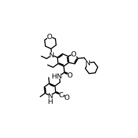 CCc1c(N(CC)C2CCOCC2)cc2oc(CN3CCCCC3)cc2c1C(=O)NCC1=C(C)C=C(C)NC1=C=O